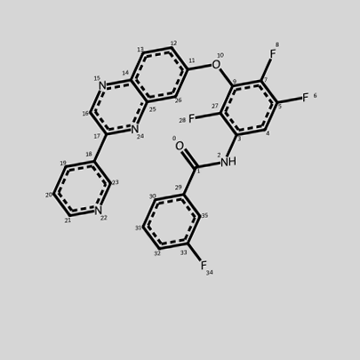 O=C(Nc1cc(F)c(F)c(Oc2ccc3ncc(-c4cccnc4)nc3c2)c1F)c1cccc(F)c1